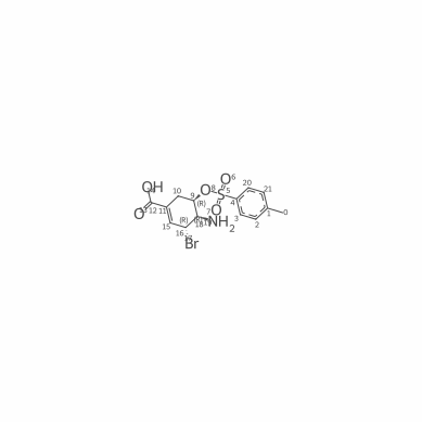 Cc1ccc(S(=O)(=O)O[C@@H]2CC(C(=O)O)=C[C@@H](Br)[C@@H]2N)cc1